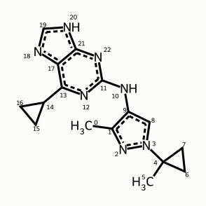 Cc1nn(C2(C)CC2)cc1Nc1nc(C2CC2)c2nc[nH]c2n1